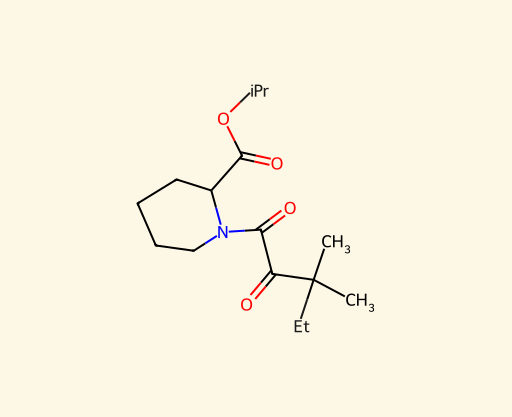 CCC(C)(C)C(=O)C(=O)N1CCCCC1C(=O)OC(C)C